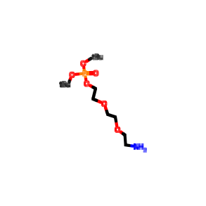 CC(C)(C)OP(=O)(OCCOCCOCCN)OC(C)(C)C